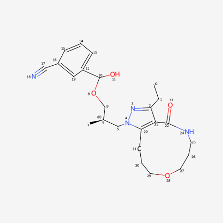 CCc1nn(C[C@@H](C)COC(O)c2cccc(C#N)c2)c2c1C(=O)NCCCOCCC2